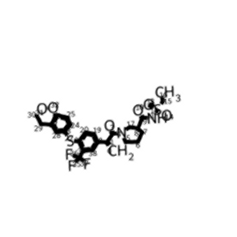 C=C(C(=O)N1CCCC(C(=O)NS(=O)(=O)CC)C1)c1ccc(Sc2ccc3c(c2)CCOO3)c(C(F)(F)F)c1